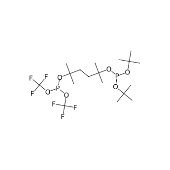 CC(C)(C)OP(OC(C)(C)C)OC(C)(C)CCC(C)(C)OP(OC(F)(F)F)OC(F)(F)F